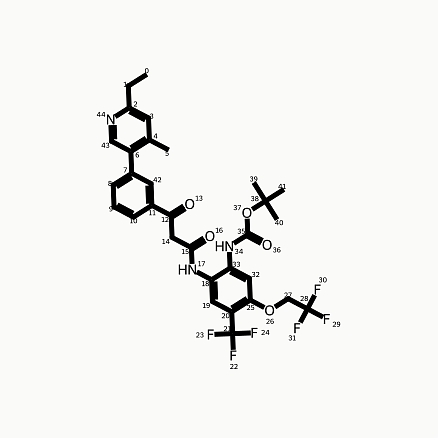 CCc1cc(C)c(-c2cccc(C(=O)CC(=O)Nc3cc(C(F)(F)F)c(OCC(F)(F)F)cc3NC(=O)OC(C)(C)C)c2)cn1